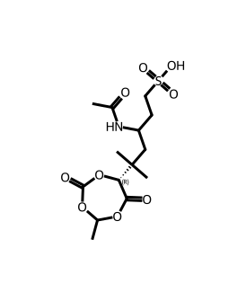 CC(=O)NC(CCS(=O)(=O)O)CC(C)(C)[C@H]1OC(=O)OC(C)OC1=O